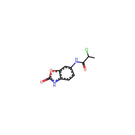 CC(Cl)C(=O)Nc1ccc2[nH]c(=O)oc2c1